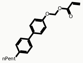 C=CC(=O)OCOc1ccc(-c2ccc(CCCCC)cc2)cc1